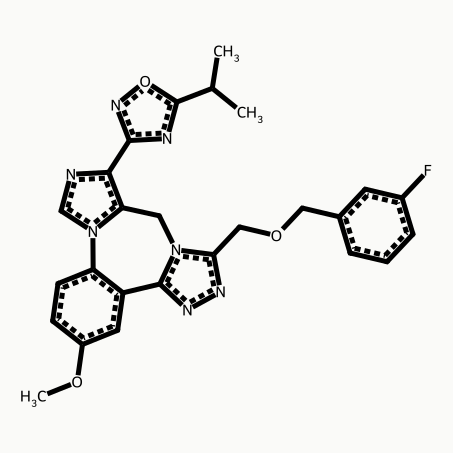 COc1ccc2c(c1)-c1nnc(COCc3cccc(F)c3)n1Cc1c(-c3noc(C(C)C)n3)ncn1-2